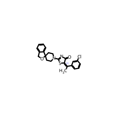 C/C(=C1\SC(N2CCC3(CC2)OCc2ccccc23)=NC1=O)c1cccc(Cl)c1